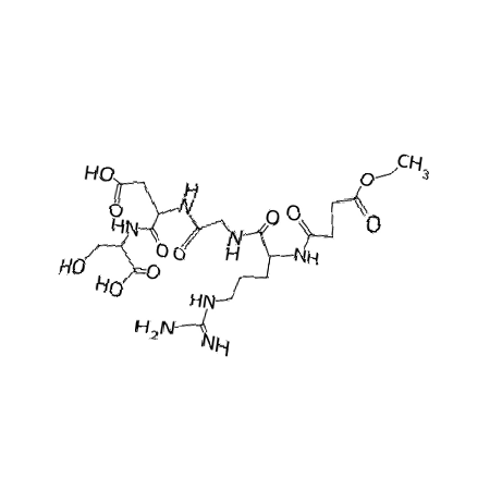 CCOC(=O)CCC(=O)NC(CCCNC(=N)N)C(=O)NCC(=O)NC(CC(=O)O)C(=O)NC(CO)C(=O)O